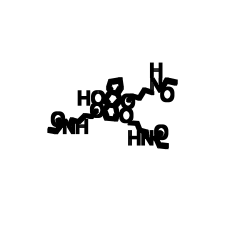 C=CC(=O)NCCCCOc1ccc(OCCCCNC(=O)C=C)c2c(OCCCCNC(=O)C=C)c3ccccc3c(O)c12